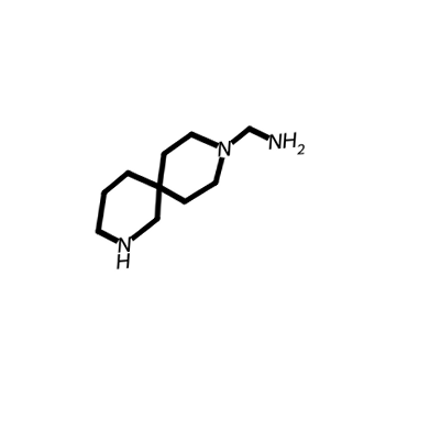 NCN1CCC2(CCCNC2)CC1